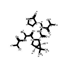 CCC(C)C(NC(=O)C(F)Cl)C(=O)N1C[C@H]2[C@@H]([C@H]1C(=O)NN(C[C@@H]1CCNC1=O)C(=O)C(F)Cl)C2(C)C